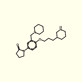 O=C1CCCN1c1ccc(OCCCC2CCCNC2)c(CN2CCCCC2)c1